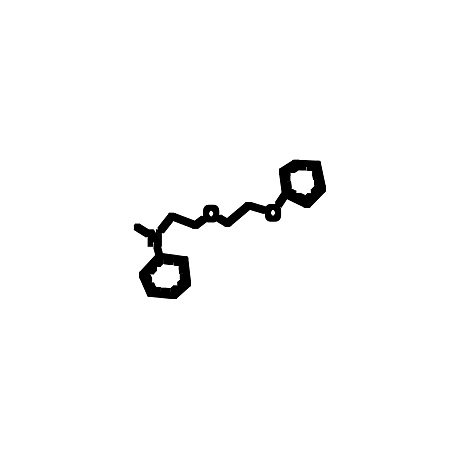 CN(CCOCCOc1ccccc1)c1ccccc1